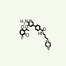 CC(Oc1cc(-c2ccc(C(=O)NCCCN3CCN(C)CC3)cc2)cnc1N)c1c(Cl)ccc(F)c1Cl